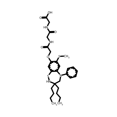 CCCCC1(CCCC)CN(c2ccccc2)c2cc(SC)c(OCC(=O)NCC(=O)NCC(=O)O)cc2SN1